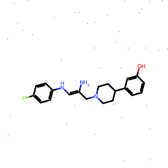 N/C(=C\Nc1ccc(F)cc1)CN1CCC(c2cccc(O)c2)CC1